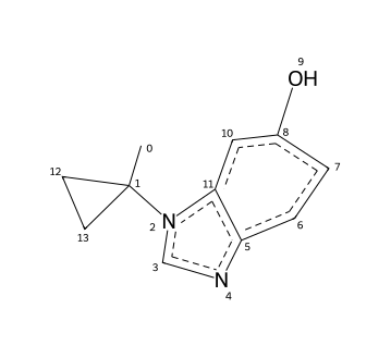 CC1(n2cnc3ccc(O)cc32)CC1